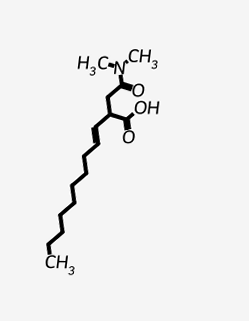 CCCCCCCCC=CC(CC(=O)N(C)C)C(=O)O